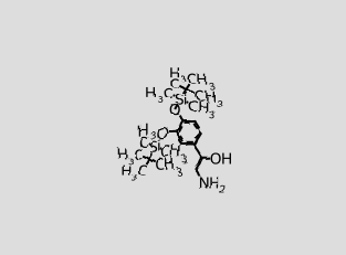 CC(C)(C)[Si](C)(C)Oc1ccc(C(O)CN)cc1O[Si](C)(C)C(C)(C)C